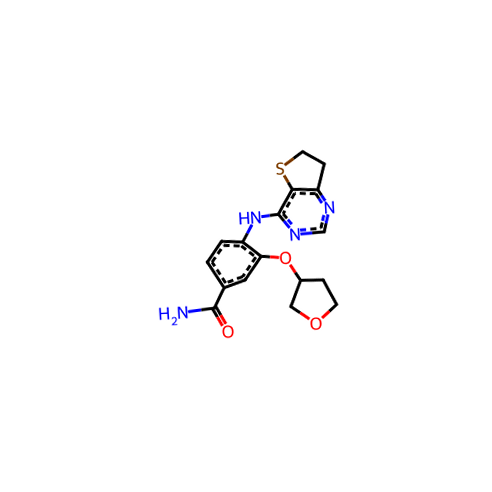 NC(=O)c1ccc(Nc2ncnc3c2SCC3)c(OC2CCOC2)c1